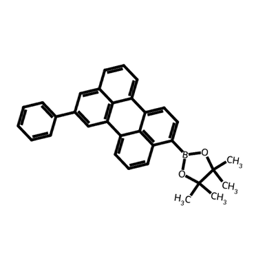 CC1(C)OB(c2ccc3c4cccc5cc(-c6ccccc6)cc(c6cccc2c36)c54)OC1(C)C